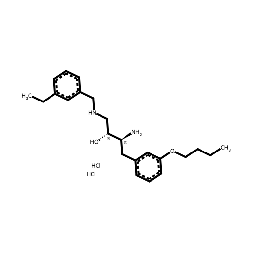 CCCCOc1cccc(C[C@H](N)[C@H](O)CNCc2cccc(CC)c2)c1.Cl.Cl